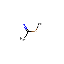 CSC(C)=[N]